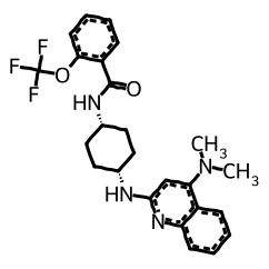 CN(C)c1cc(N[C@H]2CC[C@@H](NC(=O)c3ccccc3OC(F)(F)F)CC2)nc2ccccc12